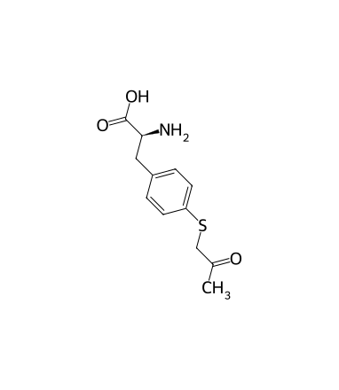 CC(=O)CSc1ccc(C[C@H](N)C(=O)O)cc1